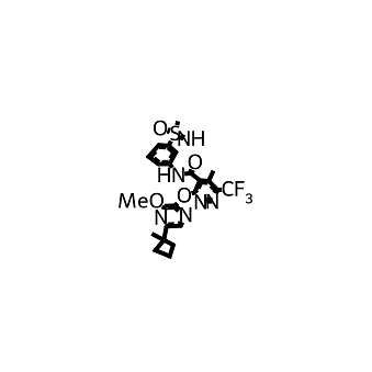 COc1nc(C2(C)CCC2)cnc1Oc1nnc(C(F)(F)F)c(C)c1C(=O)Nc1cccc(S(C)(=N)=O)c1